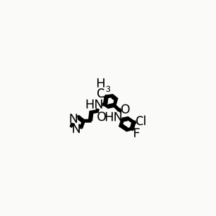 Cc1ccc(C(=O)Nc2ccc(F)c(Cl)c2)cc1NC(=O)C=Cc1cncnc1